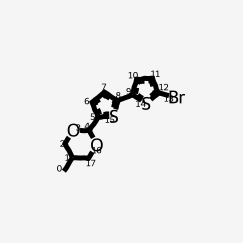 CC1COC(c2ccc(-c3ccc(Br)s3)s2)OC1